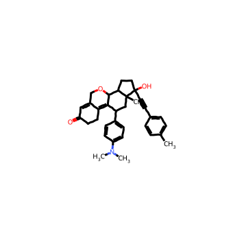 Cc1ccc(C#CC2(O)CCC3C4OCC5=CC(=O)CCC5=C4C(c4ccc(N(C)C)cc4)CC32C)cc1